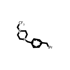 CC(C)Cc1ccc(CN2CCN(CC(F)(F)F)CC2)cc1